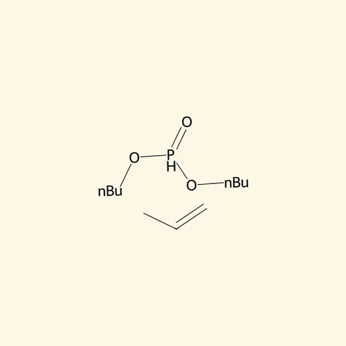 C=CC.CCCCO[PH](=O)OCCCC